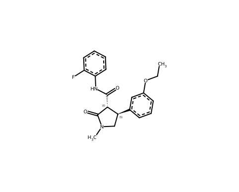 CCOc1cccc([C@H]2CN(C)C(=O)[C@@H]2C(=O)Nc2ccccc2F)c1